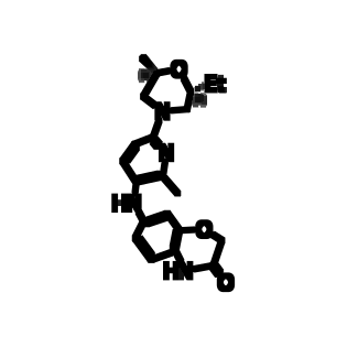 CC[C@@H]1CN(c2ccc(Nc3ccc4c(c3)OCC(=O)N4)c(C)n2)C[C@@H](C)O1